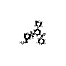 NCc1ccnc(S(=O)(=O)N2C[C@@H](C(=O)N3CCOCC3)C[C@@H](N3CCOCC3)C2)c1